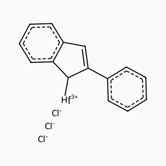 [Cl-].[Cl-].[Cl-].[Hf+3][CH]1C(c2ccccc2)=Cc2ccccc21